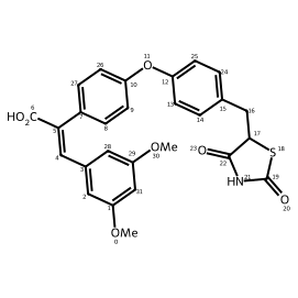 COc1cc(/C=C(/C(=O)O)c2ccc(Oc3ccc(CC4SC(=O)NC4=O)cc3)cc2)cc(OC)c1